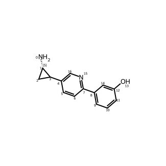 N[C@H]1CC1c1ccc(-c2cccc(O)c2)nc1